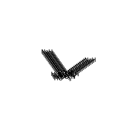 O=S(=O)(O)O.O=S(=O)(O)O.O=S(=O)(O)O.O=S(=O)(O)O.O=S(=O)(O)O.[NaH].[NaH].[NaH].[NaH].[NaH].[NaH].[NaH].[NaH].[NaH].[NaH].[NaH].[NaH].[NaH].[NaH].[NaH].[NaH].[NaH].[NaH].[NaH].[NaH].[NaH].[NaH].[NaH].[NaH].[NaH].[NaH].[NaH].[NaH].[NaH]